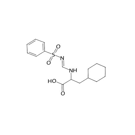 O=C(O)C(CC1CCCCC1)NC=NS(=O)(=O)c1ccccc1